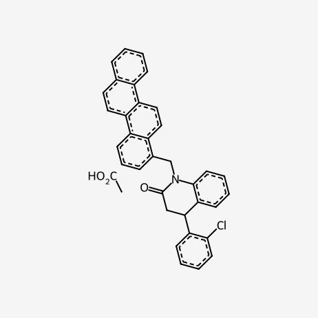 CC(=O)O.O=C1CC(c2ccccc2Cl)c2ccccc2N1Cc1cccc2c1ccc1c3ccccc3ccc21